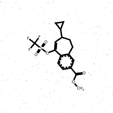 COC(=O)c1ccc2c(c1)CCC(C1CC1)C=C2OS(=O)(=O)C(F)(F)F